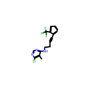 Cc1c(Cl)ncnc1NCCC#Cc1ccccc1C(F)(F)F